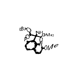 COC(=O)C(N)(C(=O)OC(C)(C)C)c1c(F)ccc2ccc(OC)nc12